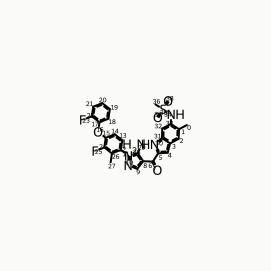 Cc1cc2cc(C(=O)c3cnn(-c4ccc(Oc5ccccc5F)c(F)c4C)c3N)[nH]c2cc1NS(C)(=O)=O